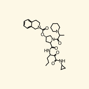 CCCC(NC(=O)C1C[C@@H](OC(=O)N2CCc3ccccc3C2)CN1C(=O)C(C)N1CCCCC1)C(=O)C(=O)NC1CC1